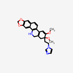 COC1=CC2=C(CNc3c2ccc2cc4c(cc32)OCO4)CC1(CCn1ccnc1)OC